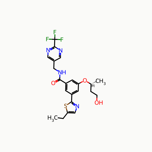 CCc1cnc(-c2cc(O[C@H](C)CCO)cc(C(=O)NCc3cnc(C(F)(F)F)nc3)c2)s1